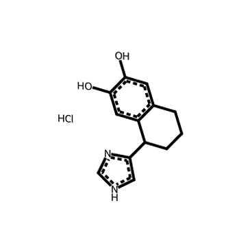 Cl.Oc1cc2c(cc1O)C(c1c[nH]cn1)CCC2